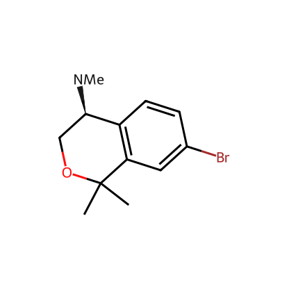 CN[C@@H]1COC(C)(C)c2cc(Br)ccc21